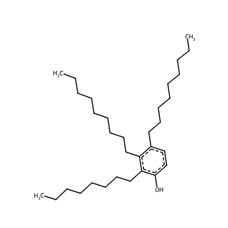 CCCCCCCCCc1ccc(O)c(CCCCCCCC)c1CCCCCCCCC